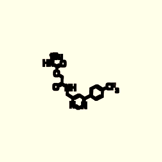 CC(C)(C)NC(=O)OCC(=O)NCc1cc(-c2ccc(C(F)(F)F)cc2)ncn1